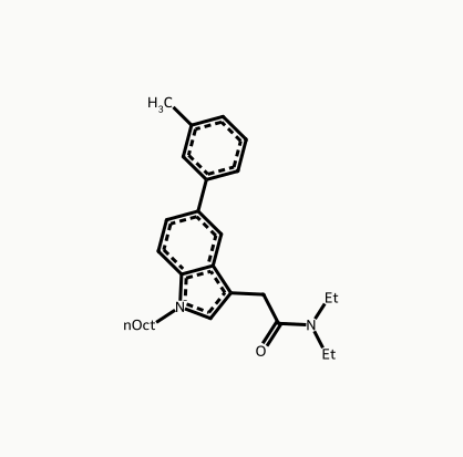 CCCCCCCCn1cc(CC(=O)N(CC)CC)c2cc(-c3cccc(C)c3)ccc21